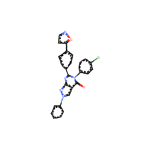 O=c1c2cn(-c3ccccc3)nc2nc(-c2ccc(-c3ccno3)cc2)n1-c1ccc(Cl)cc1